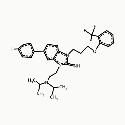 CC(C)N(CCn1c(=N)n(CCCOc2ccccc2C(F)(F)F)c2ccc(-c3ccc(F)cc3)cc21)C(C)C